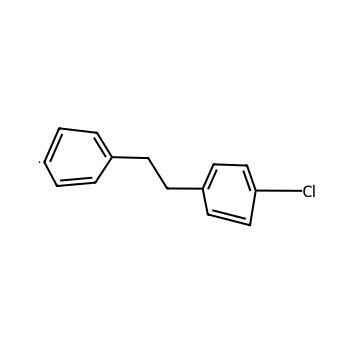 Clc1ccc(CCc2cc[c]cc2)cc1